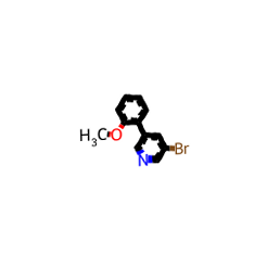 COc1ccccc1-c1cncc(Br)c1